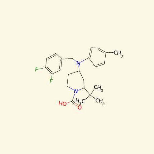 Cc1ccc(N(Cc2ccc(F)c(F)c2)C2CCN(C(=O)O)C(C(C)(C)C)C2)cc1